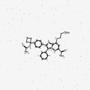 COCCOc1cc(C(N)=O)nn2c(-c3ccccc3)c(-c3ccc(C4(OC(N)=O)CCC4)cc3)nc12